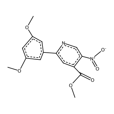 COC(=O)c1cc(-c2cc(OC)cc(OC)c2)ncc1[N+](=O)[O-]